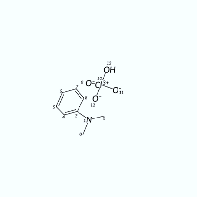 CN(C)c1ccccc1.[O-][Cl+3]([O-])([O-])O